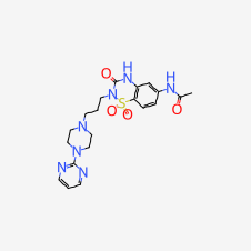 CC(=O)Nc1ccc2c(c1)NC(=O)N(CCCN1CCN(c3ncccn3)CC1)S2(=O)=O